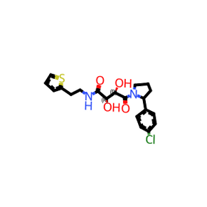 O=C(NCCc1cccs1)[C@H](O)[C@@H](O)C(=O)N1CCCC1c1ccc(Cl)cc1